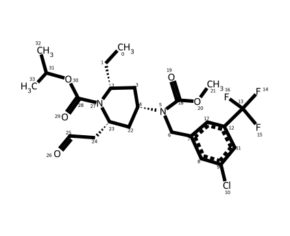 CC[C@@H]1C[C@H](N(Cc2cc(Cl)cc(C(F)(F)F)c2)C(=O)OC)C[C@H](CC=O)N1C(=O)OC(C)C